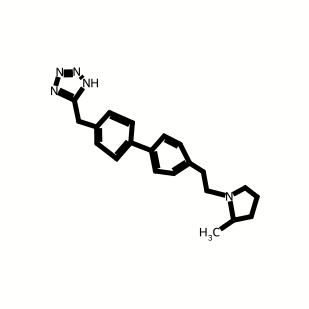 CC1CCCN1CCc1ccc(-c2ccc(Cc3nnn[nH]3)cc2)cc1